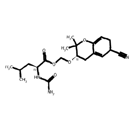 CC(C)C[C@H](NC(N)=O)C(=O)OCO[C@H]1CC2=CC(C#N)CC=C2OC1(C)C